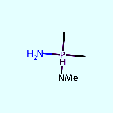 CN[PH](C)(C)N